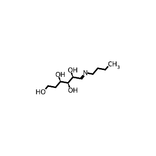 CCCCN=C[C@H](O)[C@@H](O)[C@H](O)CCO